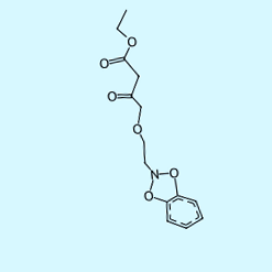 CCOC(=O)CC(=O)COCCN1Oc2ccccc2O1